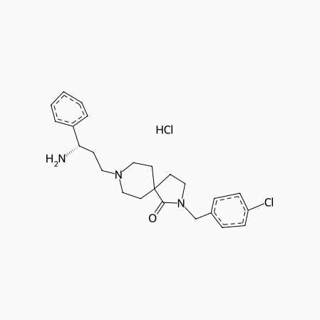 Cl.N[C@@H](CCN1CCC2(CC1)CCN(Cc1ccc(Cl)cc1)C2=O)c1ccccc1